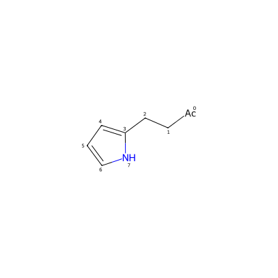 CC(=O)CCc1ccc[nH]1